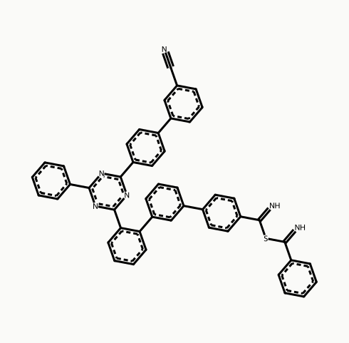 N#Cc1cccc(-c2ccc(-c3nc(-c4ccccc4)nc(-c4ccccc4-c4cccc(-c5ccc(C(=N)SC(=N)c6ccccc6)cc5)c4)n3)cc2)c1